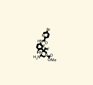 COC(=O)N1CC(N)NC(c2cc(NC(=O)c3ccc(Br)cn3)ccc2F)(C(F)F)C1